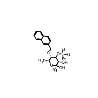 [2H][C@@]1(O)O[C@@H](C)[C@H](OCc2ccc3ccccc3c2)[C@@H](O[Si](CC)(CC)CC)[C@H]1O